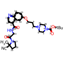 CC(C)(C)OC(=O)N1CCN(CCCOc2ccc3nccc(C(=O)NCC(=O)N4CCCC4(C)C#N)c3c2)CC1